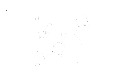 CCCC(N)=O.O=C(Nc1onc(-c2ccsc2)c1C(=O)O)c1ccco1